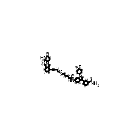 NC(=S)c1cccc(-c2cn(C3CCC(F)(F)CC3)c3cc(NC(=O)CCCCCOCCC#Cc4cccc5c4CN(C4CCC(=O)NC4=O)C5=O)ccc23)c1